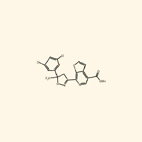 COC(=O)c1cnc(C2=NOC(c3cc(Cl)cc(Cl)c3)(C(F)(F)F)C2)c2sccc12